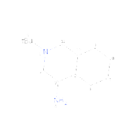 CC(C)(C)N1CC(N)C2CCCCC2C1